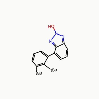 CC(C)(C)c1cccc(-c2cccc3nn(O)nc23)c1C(C)(C)C